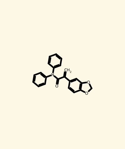 C=C(C(=O)N(c1ccccc1)c1ccccc1)c1ccc2c(c1)OCO2